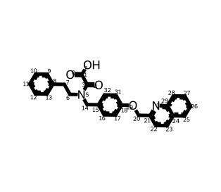 O=C(O)C(=O)N(CCc1ccccc1)Cc1ccc(OCc2ccc3ccccc3n2)cc1